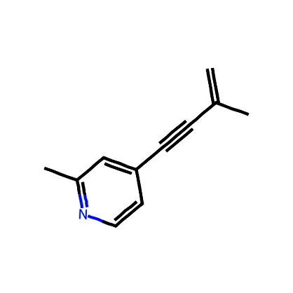 C=C(C)C#Cc1ccnc(C)c1